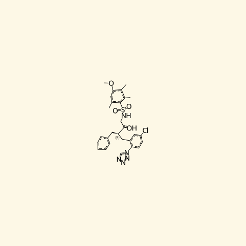 COc1cc(C)c(S(=O)(=O)NC[C@@H](O)[C@H](Cc2ccccc2)Cc2cc(Cl)ccc2-n2cnnn2)c(C)c1C